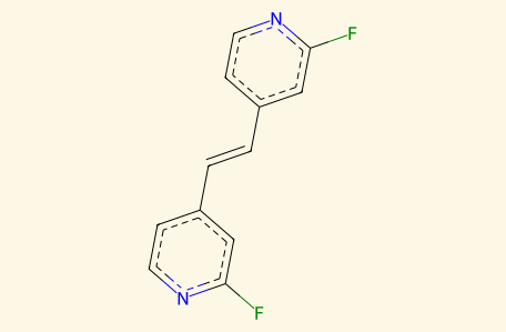 Fc1cc(/C=C/c2ccnc(F)c2)ccn1